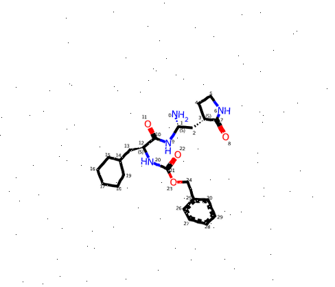 N[C@H](C[C@@H]1CCNC1=O)NC(=O)[C@H](CC1CCCCC1)NC(=O)OCc1ccccc1